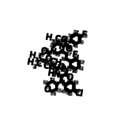 COC(=O)N[C@H](C(=O)Nc1cccc(F)c1CCC1CN(C(=O)OC(C)(C)C)C[C@@H](C)N1S(=O)(=O)c1ccc(F)cc1)[C@@H](c1ccc(Cl)cc1)C1CCOCC1